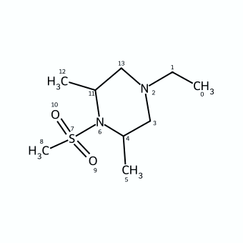 CCN1CC(C)N(S(C)(=O)=O)C(C)C1